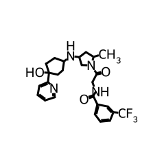 CC1CC(NC2CCC(O)(c3ccccn3)CC2)CN1C(=O)CNC(=O)c1cccc(C(F)(F)F)c1